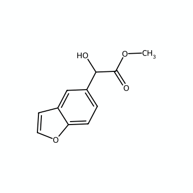 COC(=O)C(O)c1ccc2occc2c1